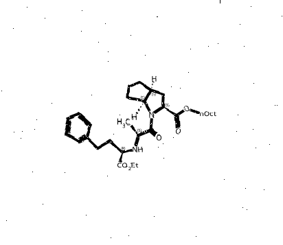 CCCCCCCCOC(=O)[C@@H]1C[C@@H]2CCC[C@@H]2N1C(=O)[C@H](C)N[C@H](CCc1ccccc1)C(=O)OCC